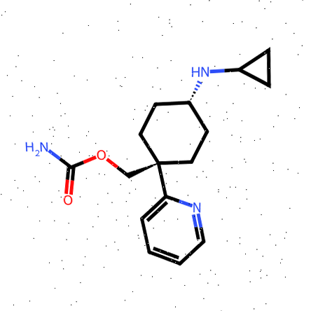 NC(=O)OC[C@]1(c2ccccn2)CC[C@@H](NC2CC2)CC1